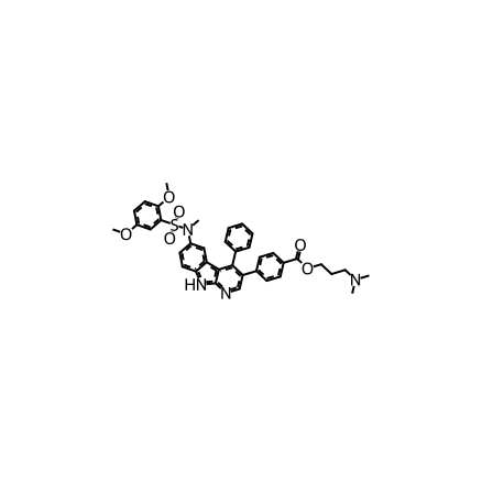 COc1ccc(OC)c(S(=O)(=O)N(C)c2ccc3[nH]c4ncc(-c5ccc(C(=O)OCCCN(C)C)cc5)c(-c5ccccc5)c4c3c2)c1